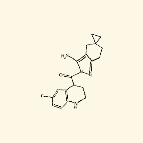 Nc1c2c(nn1C(=O)C1CCNc3ccc(F)cc31)CCC1(CC1)C2